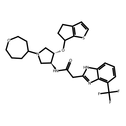 O=C(Cc1nc2c(C(F)(F)F)cccc2[nH]1)N[C@H]1CN(C2CCCOCC2)C[C@@H]1OC1CCc2ccsc21